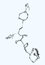 O=C(N[C@@H](CCc1ccc([N+](=O)[O-])cn1)C(=O)O)OCc1ccccc1